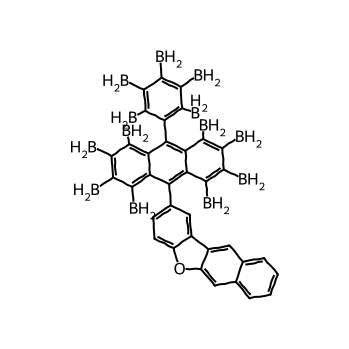 Bc1c(B)c(B)c(-c2c3c(B)c(B)c(B)c(B)c3c(-c3ccc4oc5cc6ccccc6cc5c4c3)c3c(B)c(B)c(B)c(B)c23)c(B)c1B